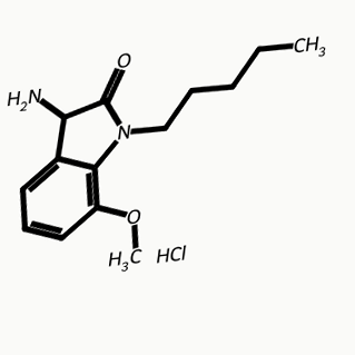 CCCCCN1C(=O)C(N)c2cccc(OC)c21.Cl